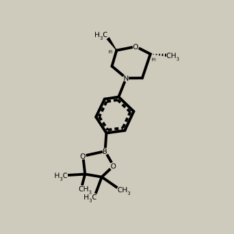 C[C@@H]1CN(c2ccc(B3OC(C)(C)C(C)(C)O3)cc2)C[C@@H](C)O1